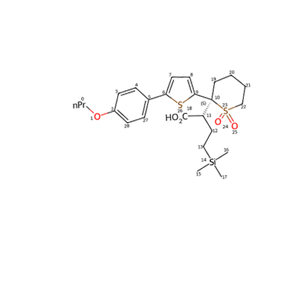 CCCOc1ccc(-c2ccc([C@@]3(C(CC[Si](C)(C)C)C(=O)O)CCCCS3(=O)=O)s2)cc1